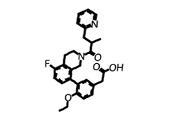 CCOc1ccc(CC(=O)O)cc1-c1ccc(F)c2c1CN(C(=O)C(C)Cc1ccccn1)CC2